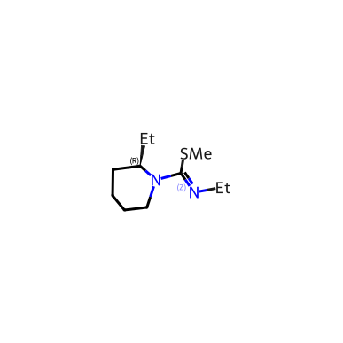 CC/N=C(\SC)N1CCCC[C@H]1CC